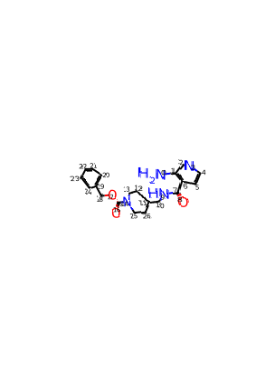 Nc1cnccc1C(=O)NCC1CCN(C(=O)OCc2ccccc2)CC1